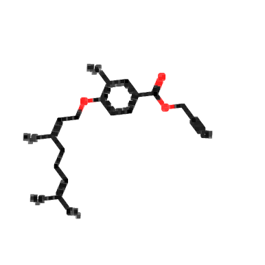 C#CCOC(=O)c1ccc(OCC=C(C)CCC=C(C)C)c(C)c1